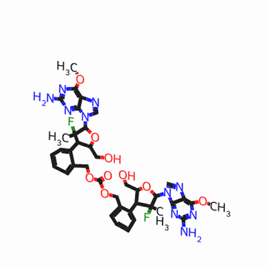 COc1nc(N)nc2c1ncn2C1OC(CO)C(c2ccccc2COC(=O)OCc2ccccc2C2C(CO)OC(n3cnc4c(OC)nc(N)nc43)C2(C)F)C1(C)F